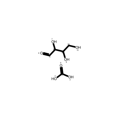 O=C(O)O.O=CC(O)C(O)CO